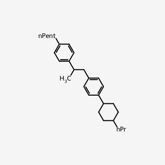 CCCCCc1ccc(C(C)Cc2ccc(C3CCC(CCC)CC3)cc2)cc1